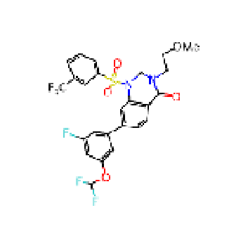 COCCN1CN(S(=O)(=O)c2cccc(C(F)(F)F)c2)c2cc(-c3cc(F)cc(OC(F)F)c3)ccc2C1=O